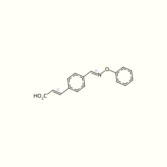 O=C(O)/C=C/c1ccc(/C=N/Oc2ccccc2)cc1